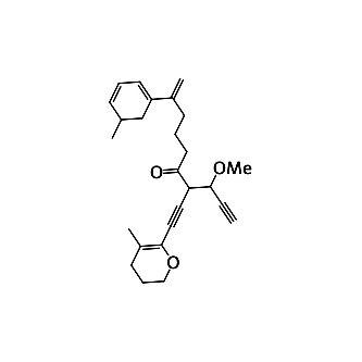 C#CC(OC)C(C#CC1=C(C)CCCO1)C(=O)CCCC(=C)C1=CC=CC(C)C1